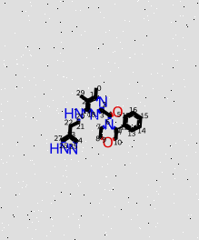 Cc1nc(C(=O)N2CCOC[C@@H]2c2ccccc2)nc(NCCc2cn[nH]c2)c1C